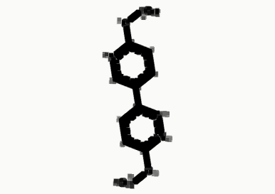 CCCCCCCCOc1ccc(-c2ccc(OCCCCCCCC)nn2)cn1